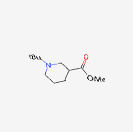 COC(=O)C1CCCN(C(C)(C)C)C1